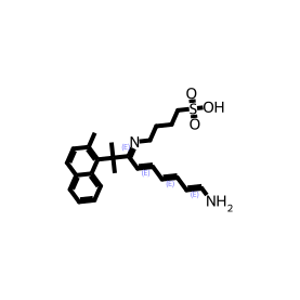 Cc1ccc2ccccc2c1C(C)(C)C(/C=C/C=C/C=C/N)=N/CCCCS(=O)(=O)O